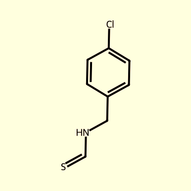 S=CNCc1ccc(Cl)cc1